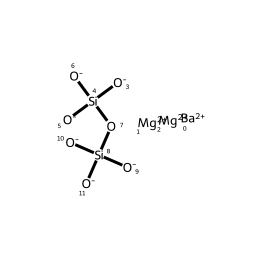 [Ba+2].[Mg+2].[Mg+2].[O-][Si]([O-])([O-])O[Si]([O-])([O-])[O-]